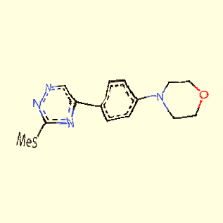 CSc1nncc(-c2ccc(N3CCOCC3)cc2)n1